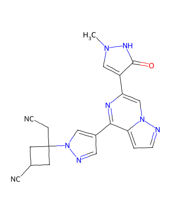 Cn1cc(-c2cn3nccc3c(-c3cnn(C4(CC#N)CC(C#N)C4)c3)n2)c(=O)[nH]1